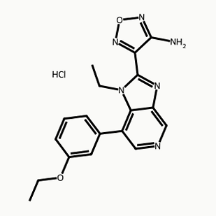 CCOc1cccc(-c2cncc3nc(-c4nonc4N)n(CC)c23)c1.Cl